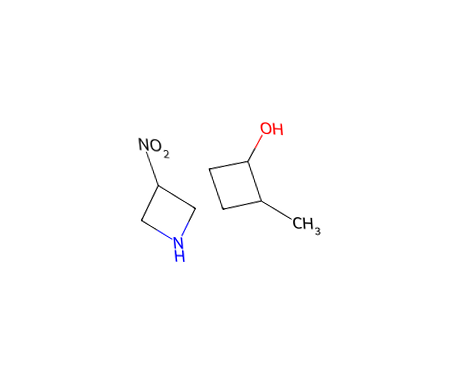 CC1CCC1O.O=[N+]([O-])C1CNC1